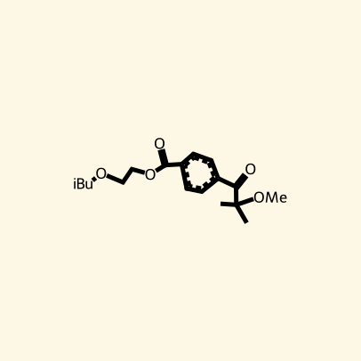 CCC(C)OCCOC(=O)c1ccc(C(=O)C(C)(C)OC)cc1